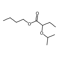 CCCCOC(=O)C(CC)OC(C)C